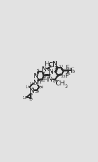 C[C@@H](Nc1nc(Cl)nc2cnc(N3CCN(C4CC4)CC3)cc12)c1cc(N)cc(C(F)(F)F)c1